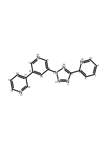 c1ccc(-c2nnn(-c3cncc(-c4cccnc4)c3)n2)nc1